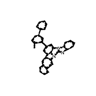 Cc1ccc(-c2ccccc2)cc1-c1cc2c3cc4ccccc4cc3n3c2c(c1)n1c2ccccc2nc13